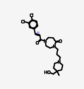 CC1(CO)CCN(CCCN2CCN(C(=O)/C=C/c3ccc(Cl)c(Cl)c3)CCC2=O)CC1